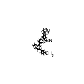 Cn1cc(-c2cc3nccn3c(-c3ccn(C4(CC#N)CN(C(=O)OC(C)(C)C)C4)c3)n2)cn1